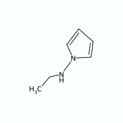 CCNn1cccc1